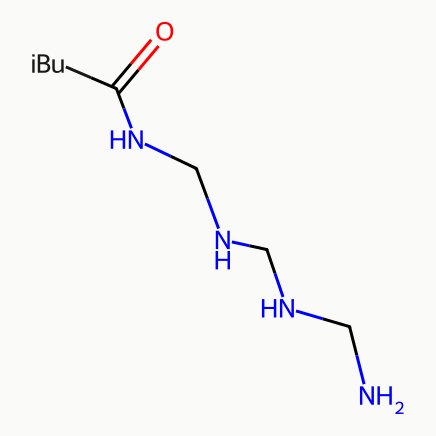 CCC(C)C(=O)NCNCNCN